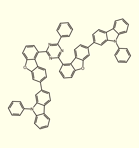 c1ccc(-c2nc(-c3cccc4oc5cc(-c6ccc7c8ccccc8n(-c8ccccc8)c7c6)ccc5c34)nc(-c3cccc4oc5cc(-c6ccc7c8ccccc8n(-c8ccccc8)c7c6)ccc5c34)n2)cc1